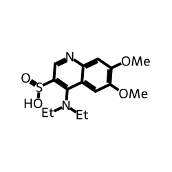 CCN(CC)c1c(S(=O)O)cnc2cc(OC)c(OC)cc12